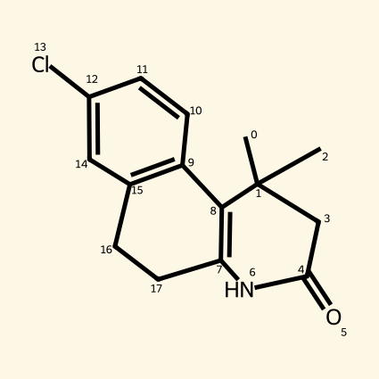 CC1(C)CC(=O)NC2=C1c1ccc(Cl)cc1CC2